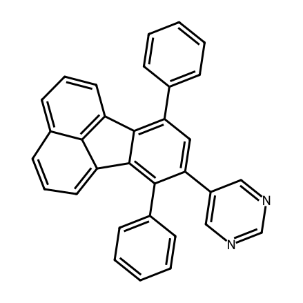 c1ccc(-c2cc(-c3cncnc3)c(-c3ccccc3)c3c2-c2cccc4cccc-3c24)cc1